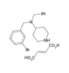 CC(C)CN(Cc1cccc(Br)c1)C1CCNCC1.O=C(O)C=CC(=O)O